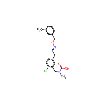 Cc1cccc(CON=CCc2ccc(Cl)c(CN(C)C(=O)O)c2)c1